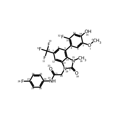 COc1cc(-c2cc(C(F)(F)F)cc3c2n(C)c(=O)n3CC(=O)Nc2ccc(F)cc2)c(F)cc1O